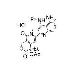 CC[C@@]1(OC(C)=O)C(=O)OCc2c1cc1n(c2=O)Cc2c-1nc1cccc(N)c1c2NC(C)C.Cl